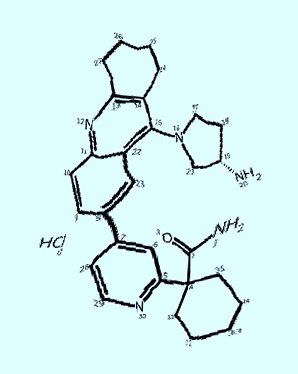 Cl.NC(=O)C1(c2cc(-c3ccc4nc5c(c(N6CC[C@H](N)C6)c4c3)CCCC5)ccn2)CCCCC1